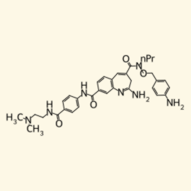 CCCN(OCc1ccc(N)cc1)C(=O)C1=Cc2ccc(C(=O)Nc3ccc(C(=O)NCCN(C)C)cc3)cc2N=C(N)C1